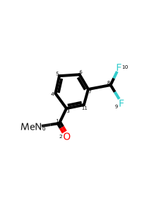 CNC(=O)c1cccc(C(F)F)c1